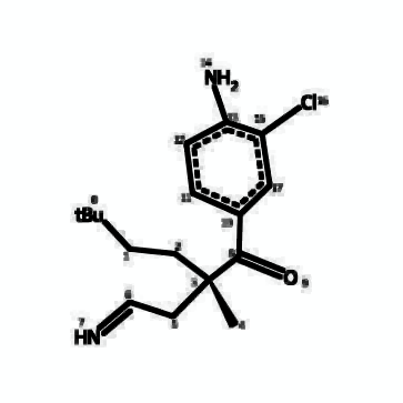 CC(C)(C)CC[C@@](C)(CC=N)C(=O)c1ccc(N)c(Cl)c1